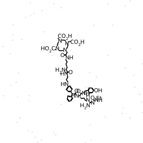 CCNC(=O)/N=C(/N)NCCC[C@@H](NC(=O)C(c1ccccc1)c1ccc(NCCCNC(=O)[C@H](N)CCCCNC(=O)CN2CCN(CC(=O)O)CCN(CC(=O)O)CCN(CC(=O)O)CC2)cc1)C(=O)NCc1ccc(O)cc1